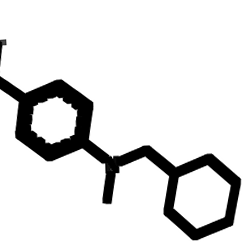 [CH2]Cc1ccc(N(C)CC2CCCCC2)cc1